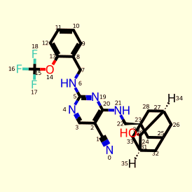 N#Cc1cnc(NCc2ccccc2OC(F)(F)F)nc1NC[C@]12CC3C[C@H](C1)C(O)[C@@H](C3)C2